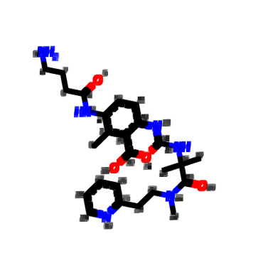 Cc1c(NC(=O)CCCN)ccc2nc(NC(C)(C)C(=O)N(C)CCc3ccccn3)oc(=O)c12